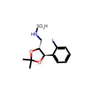 CC1(C)O[C@H](c2ccccc2I)[C@@H](CNS(=O)(=O)O)O1